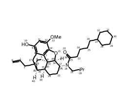 C=CCN1CC[C@]23c4c5c(O)cc(OC)c4O[C@H]2[C@H](N(CC(C)C)C(=O)CCCCC2CCCCC2)CC[C@H]3[C@H]1C5